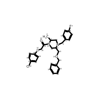 CC1CN(Cc2ccc(F)cc2)C(COCc2ccccc2)CN1C(=O)COc1ccc(Cl)cc1